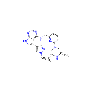 C[C@@H]1CN(c2cccc(CNc3ncnc4[nH]cc(-c5cnn(C)c5)c34)n2)C[C@H](C)N1